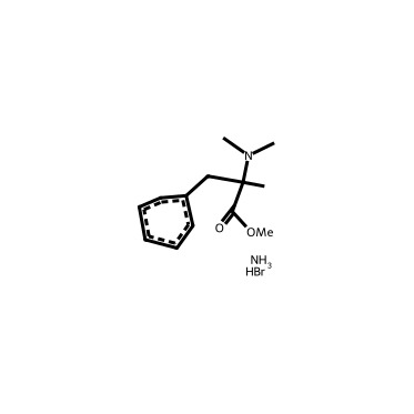 Br.COC(=O)C(C)(Cc1ccccc1)N(C)C.N